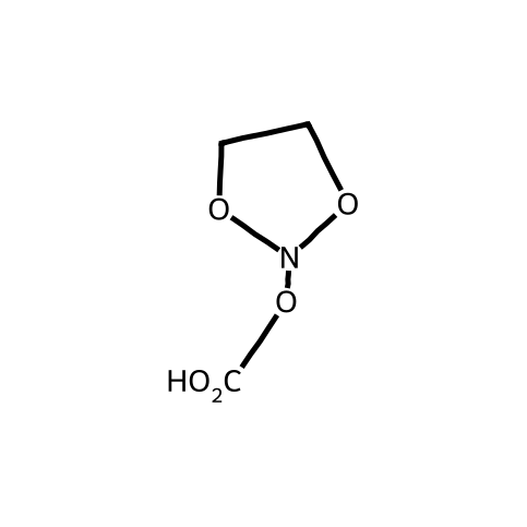 O=C(O)ON1OCCO1